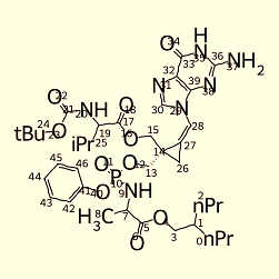 CCCC(CCC)COC(=O)C(C)N[P@](=O)(OC[C@@]1(COC(=O)C(NC(=O)OC(C)(C)C)C(C)C)C/C1=C/n1cnc2c(=O)[nH]c(N)nc21)Oc1ccccc1